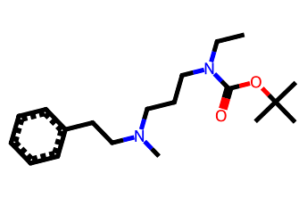 CCN(CCCN(C)CCc1ccccc1)C(=O)OC(C)(C)C